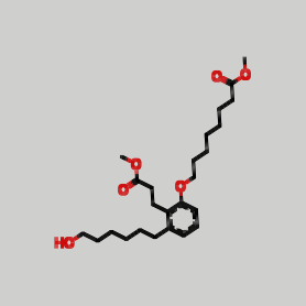 COC(=O)CCCCCCCOc1cccc(CCCCCCO)c1CCC(=O)OC